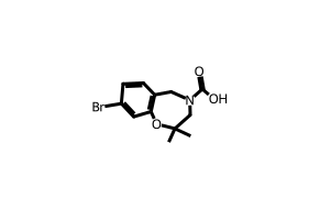 CC1(C)CN(C(=O)O)Cc2ccc(Br)cc2O1